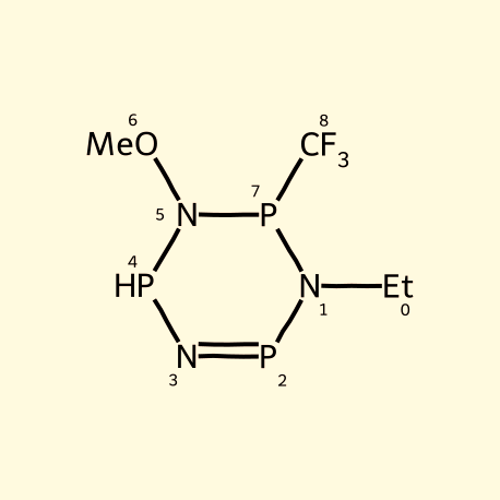 CCn1pn[pH]n(OC)p1C(F)(F)F